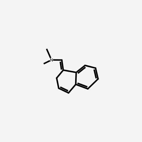 CN(C)C=C1CC=Cc2ccccc21